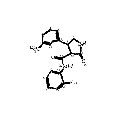 Cc1cccc(C2CNC(=O)C2C(=O)Nc2ccccc2F)c1